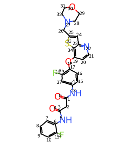 O=C(CC(=O)Nc1ccccc1F)Nc1ccc(Oc2ccnc3cc(CN4CCOCC4)sc23)c(F)c1